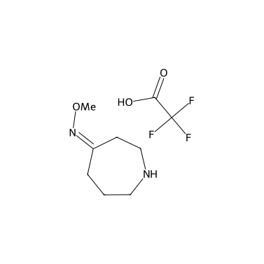 CON=C1CCCNCC1.O=C(O)C(F)(F)F